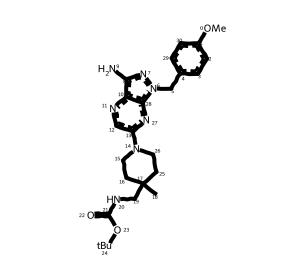 COc1ccc(Cn2nc(N)c3ncc(N4CCC(C)(CNC(=O)OC(C)(C)C)CC4)nc32)cc1